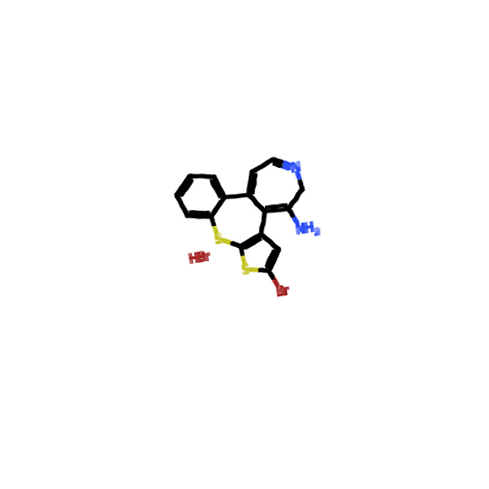 Br.NC1=C2C(=CC=NC1)c1ccccc1Sc1sc(Br)cc12